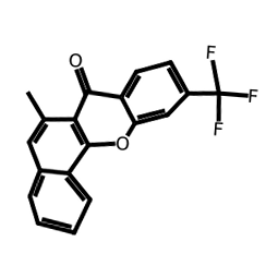 Cc1cc2ccccc2c2oc3cc(C(F)(F)F)ccc3c(=O)c12